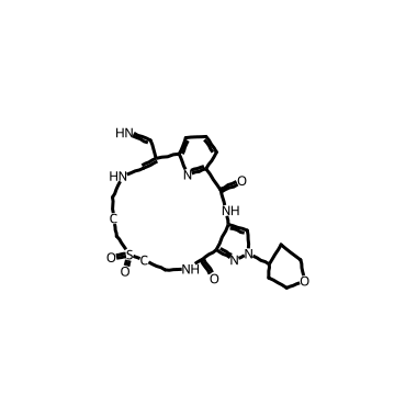 N=C/C1=C\NCCCS(=O)(=O)CCNC(=O)c2nn(C3CCOCC3)cc2NC(=O)c2cccc1n2